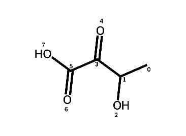 CC(O)C(=O)C(=O)O